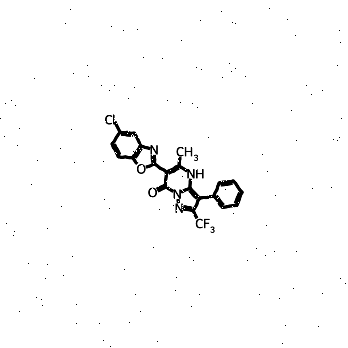 Cc1[nH]c2c(-c3ccccc3)c(C(F)(F)F)nn2c(=O)c1-c1nc2cc(Cl)ccc2o1